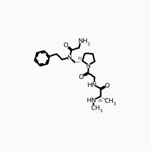 CN[C@@H](C)C(=O)NCC(=O)N1CCC[C@H]1CN(CCc1ccccc1)C(=O)CN